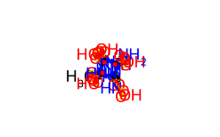 CS(=O)(=O)c1cc2c3nc4nc(nc5[nH]c(nc6nc(nc([nH]3)c2cc1S(=O)(=O)O)-c1cc(S(=O)(=O)NCCS(=O)(=O)O)ccc1-6)c1cc(S(=O)(=O)O)c(S(N)(=O)=O)cc51)-c1cc(S(=O)(=O)O)c(S(=O)(=O)O)cc1-4